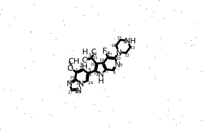 COc1cc(-c2[nH]c3cnc(N4CCNCC4)c(F)c3c2C(C)C)cn2ncnc12